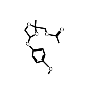 COc1ccc(OC2COC(C)(COC(C)=O)O2)cc1